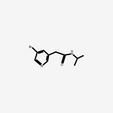 CC(C)NC(=O)Cc1cncc(Br)c1